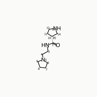 O=C(NCCN1CCCC1)[C@@H]1CCNC1